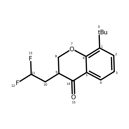 CC(C)(C)c1cccc2c1OCC(CC(F)F)C2=O